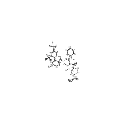 CC[C@@H]1C[C@H](N(Cc2cc(C(F)(F)F)cc(C(F)(F)F)c2)c2ncc(Br)cn2)C[C@H](Cc2ccccc2)N1C(=O)[C@H]1CC[C@@H](C(=O)O)CC1